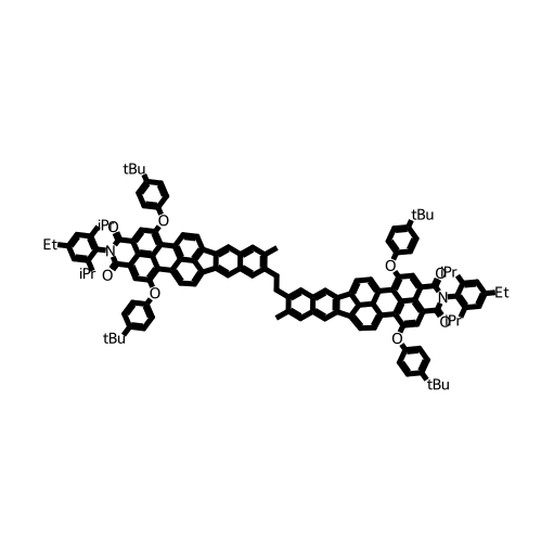 CCc1cc(C(C)C)c(N2C(=O)c3cc(Oc4ccc(C(C)(C)C)cc4)c4c5c(c(Oc6ccc(C(C)(C)C)cc6)cc(c35)C2=O)C2=CC=C3c5cc6cc(CCc7cc8cc9c(cc8cc7C)-c7ccc8c%10c(Oc%11ccc(C(C)(C)C)cc%11)cc%11c%12c(cc(Oc%13ccc(C(C)(C)C)cc%13)c(c%13ccc-9c7c8%13)c%12%10)C(=O)N(c7c(C(C)C)cc(CC)cc7C(C)C)C%11=O)c(C)cc6cc5C5=CC=C4C2C53)c(C(C)C)c1